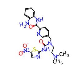 CN(C)CCN(Cc1ccc(C(=O)Nc2ccccc2N)nc1)C(=O)Nc1ncc([N+](=O)[O-])s1